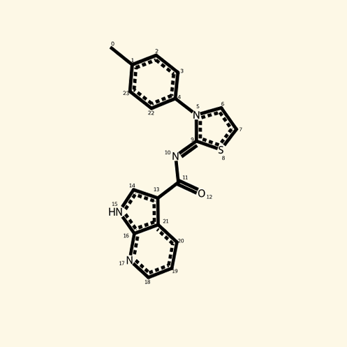 Cc1ccc(-n2ccs/c2=N\C(=O)c2c[nH]c3ncccc23)cc1